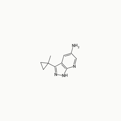 CC1(c2n[nH]c3ncc(N)cc23)CC1